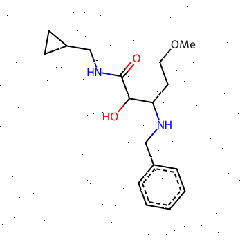 COCCC(NCc1ccccc1)C(O)C(=O)NCC1CC1